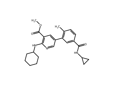 COC(=O)c1cc(-c2cc(C(=O)NC3CC3)ccc2C)cnc1NC1CCCCC1